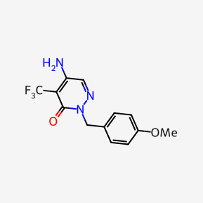 COc1ccc(Cn2ncc(N)c(C(F)(F)F)c2=O)cc1